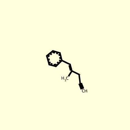 C#C[CH]/C(C)=C/c1ccccc1